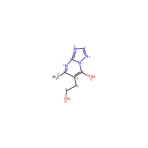 Cc1nc2ncnn2c(O)c1CCO